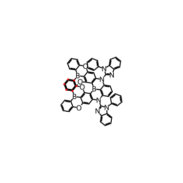 c1ccc(-n2c(N3c4cccc5c4B(c4c3cc3c6c4Oc4ccccc4B6c4ccccc4O3)c3c(cc4c6c3Oc3ccccc3B6c3ccccc3O4)N5c3nc4ccccc4n3-c3ccccc3)nc3ccccc32)cc1